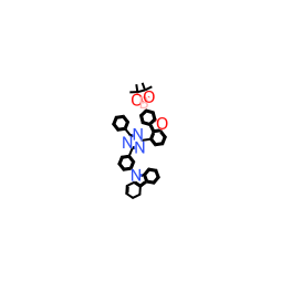 CC1(C)OB(c2ccc3c(c2)oc2cccc(-c4nc(-c5ccccc5)nc(-c5cccc(-n6c7c(c8ccccc86)CCC=C7)c5)n4)c23)OC1(C)C